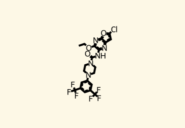 CCOc1nc2oc(Cl)cc2nc1NC(=O)N1CCN(c2cc(C(F)(F)F)cc(C(F)(F)F)c2)CC1